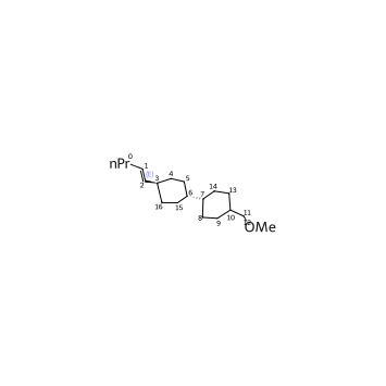 CCC/C=C/[C@H]1CC[C@H](C2CCC(COC)CC2)CC1